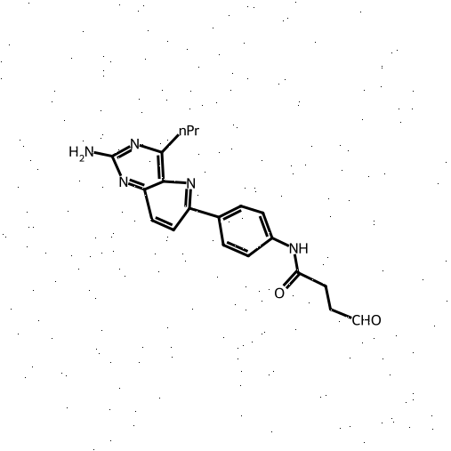 CCCc1nc(N)nc2ccc(-c3ccc(NC(=O)CCC=O)cc3)nc12